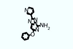 Nc1nc(Oc2ccccc2)cc2nc(-c3cccnc3)nn12